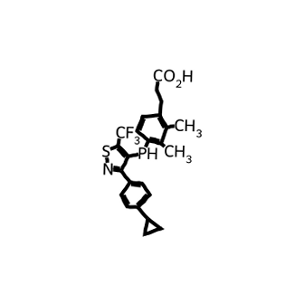 Cc1c(CCC(=O)O)ccc(Pc2c(-c3ccc(C4CC4)cc3)nsc2C(F)(F)F)c1C